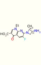 CCn1cc(C(=O)O)c(=O)c2cc(F)c(N3C[C@H](N)[C@H]3C)nc21